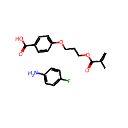 C=C(C)C(=O)OCCCOc1ccc(C(=O)O)cc1.Nc1ccc(F)cc1